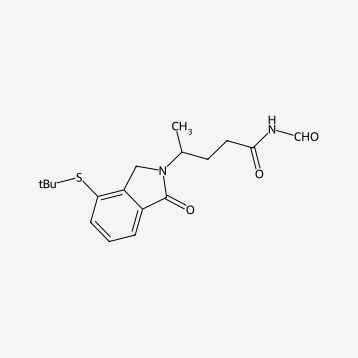 CC(CCC(=O)NC=O)N1Cc2c(SC(C)(C)C)cccc2C1=O